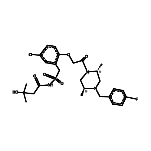 C[C@@H]1CN(Cc2ccc(F)cc2)[C@@H](C)CN1C(=O)COc1ccc(Cl)cc1CS(=O)(=O)NC(=O)CC(C)(C)O